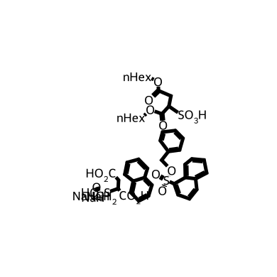 C=O.CCCCCCOC(=O)CC(C(=O)OCCCCCC)S(=O)(=O)O.O=C(O)CC(C(=O)O)S(=O)(=O)O.O=S(=O)(OCc1ccccc1)c1cccc2ccccc12.[NaH].[NaH].[NaH].c1ccc2ccccc2c1